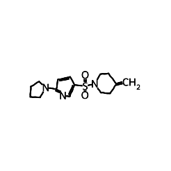 C=C1CCN(S(=O)(=O)c2ccc(N3CCCC3)nc2)CC1